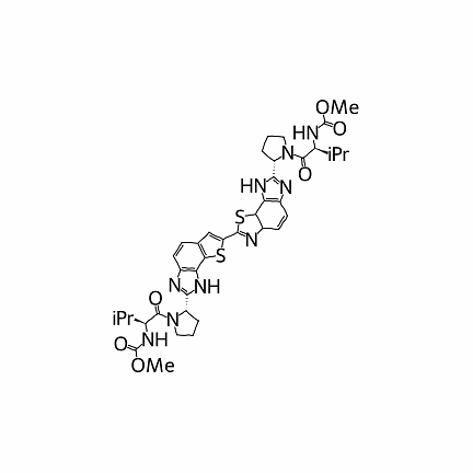 COC(=O)N[C@H](C(=O)N1CCC[C@H]1c1nc2c([nH]1)C1SC(c3cc4ccc5nc([C@@H]6CCCN6C(=O)[C@@H](NC(=O)OC)C(C)C)[nH]c5c4s3)=NC1C=C2)C(C)C